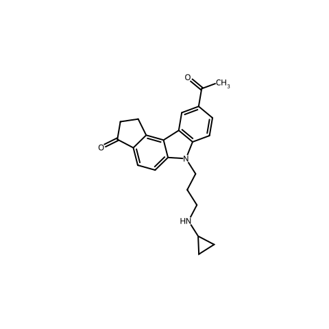 CC(=O)c1ccc2c(c1)c1c3c(ccc1n2CCCNC1CC1)C(=O)CC3